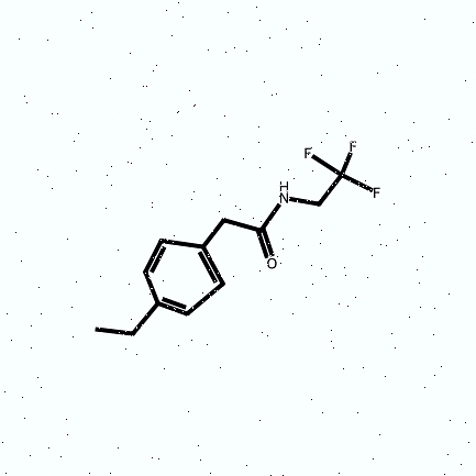 CCc1ccc(CC(=O)NCC(F)(F)F)cc1